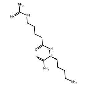 N=C(N)NCCCCC(=O)N[C@@H](CCCCN)C(N)=O